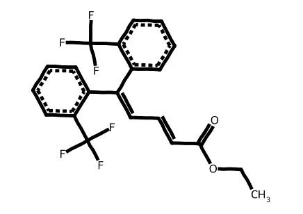 CCOC(=O)C=CC=C(c1ccccc1C(F)(F)F)c1ccccc1C(F)(F)F